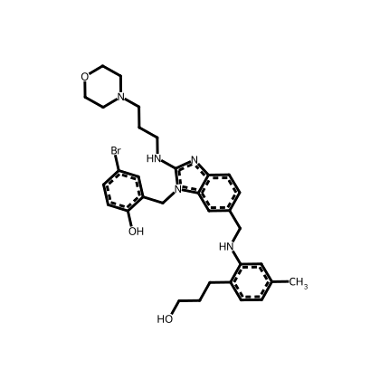 Cc1ccc(CCCO)c(NCc2ccc3nc(NCCCN4CCOCC4)n(Cc4cc(Br)ccc4O)c3c2)c1